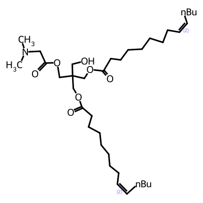 CCCC/C=C\CCCCCCCC(=O)OCC(CO)(COC(=O)CCCCCCC/C=C\CCCC)COC(=O)CN(C)C